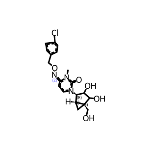 Cn1c(=O)n([C@H]2C(O)C(O)[C@]3(CO)C[C@H]23)cc/c1=N/OCc1ccc(Cl)cc1